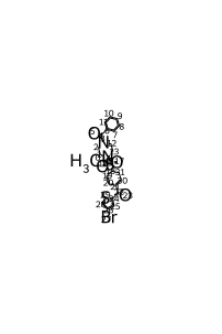 CC1CN(C(=O)c2ccccc2)CCN1S(=O)(=O)C1C=CC(C(=O)c2cc(Br)cs2)=CC1